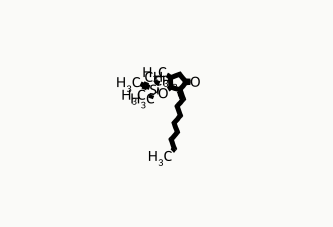 CCCCCCCC=C1C(=O)CC(C)C1O[Si](C)(C)C(C)(C)C